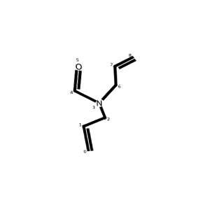 C=C[CH]N(C=O)CC=C